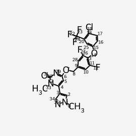 Cn1cc(-c2cc(OCc3cc(F)c(Oc4ccc(Cl)c(C(F)(F)F)c4)c(F)c3)nc(=O)n2C)cn1